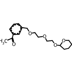 CC(=O)c1cccc(COCCOCCOC2CCCCO2)c1